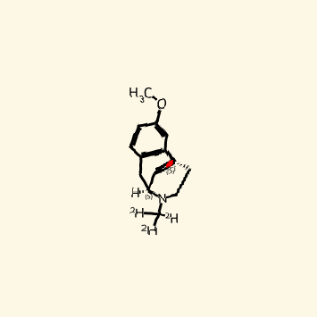 [2H]C([2H])([2H])N1CC[C@@]23CCCCC2[C@@H]1Cc1ccc(OC)cc13